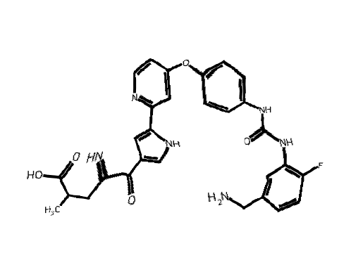 CC(CC(=N)C(=O)c1c[nH]c(-c2cc(Oc3ccc(NC(=O)Nc4cc(CN)ccc4F)cc3)ccn2)c1)C(=O)O